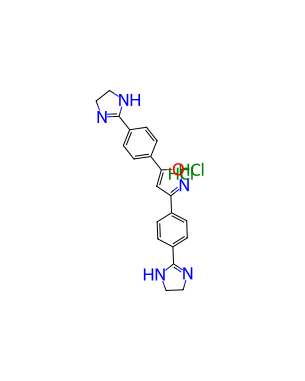 Cl.Cl.c1cc(-c2cc(-c3ccc(C4=NCCN4)cc3)on2)ccc1C1=NCCN1